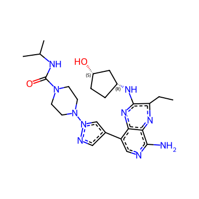 CCc1nc2c(N)ncc(-c3cnn(N4CCN(C(=O)NC(C)C)CC4)c3)c2nc1N[C@@H]1CC[C@H](O)C1